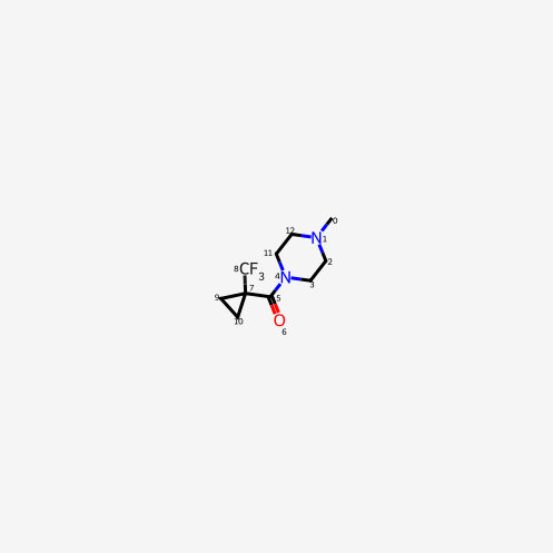 CN1CCN(C(=O)C2(C(F)(F)F)CC2)CC1